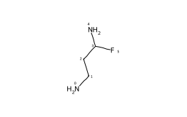 NCCC(N)F